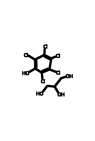 OCC(O)CO.Oc1c(Cl)c(Cl)c(Cl)c(Cl)c1Cl